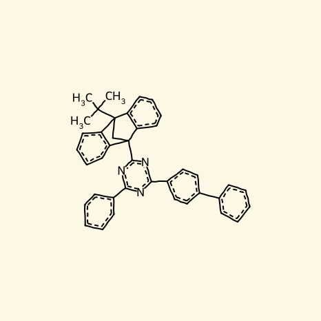 CC(C)(C)C12CC(c3nc(-c4ccccc4)nc(-c4ccc(-c5ccccc5)cc4)n3)(c3ccccc31)c1ccccc12